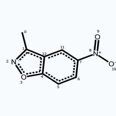 Cc1noc2ccc([N+](=O)[O-])cc12